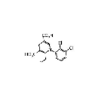 O=C(O)C1=CN(c2cccc(Cl)c2Cl)C(CF)=C(C(=O)O)C1